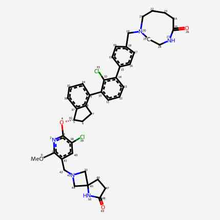 COc1nc(O[C@H]2CCc3c(-c4cccc(-c5ccc(CN6CCCCC(=O)NCC6)cc5)c4Cl)cccc32)c(Cl)cc1CN1CC2(CCC(=O)N2)C1